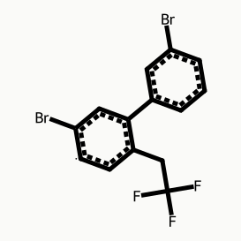 FC(F)(F)Cc1c[c]c(Br)cc1-c1cccc(Br)c1